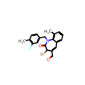 Cc1ccc(CN2C(=O)C(Br)C(C=O)=Cc3cccc(C)c32)cc1F